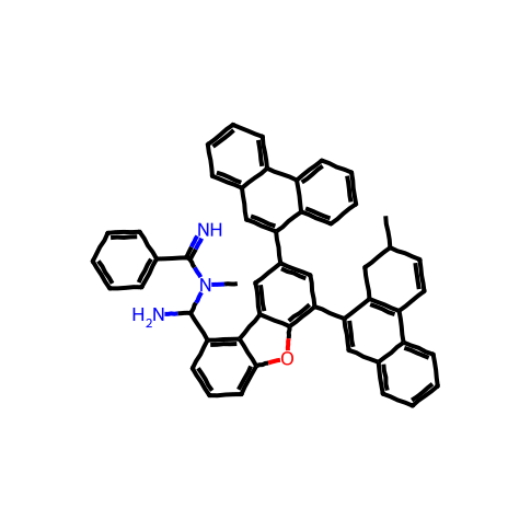 CC1C=Cc2c(c(-c3cc(-c4cc5ccccc5c5ccccc45)cc4c3oc3cccc(C(N)N(C)C(=N)c5ccccc5)c34)cc3ccccc23)C1